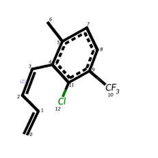 C=C/C=C\c1c(C)ccc(C(F)(F)F)c1Cl